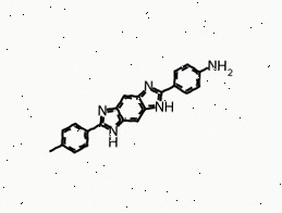 Cc1ccc(-c2nc3cc4nc(-c5ccc(N)cc5)[nH]c4cc3[nH]2)cc1